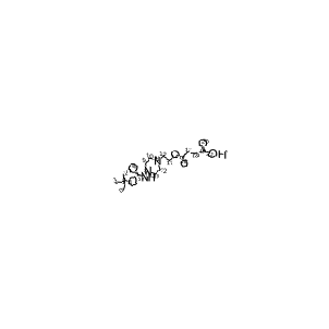 CC(C)(C)OC(=O)NN1CCN(CCOC(=O)CCC(=O)O)CC1